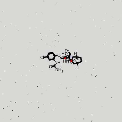 C=C/C(=C\CC)CN1[C@@H]2CC[C@H]1C[C@H](NC(=O)COc1ccc(Cl)cc1NC(N)=O)C2